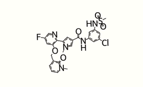 Cn1cc(C(=O)Nc2cc(Cl)cc(NS(C)(=O)=O)c2)cc1-c1ncc(F)cc1OCc1cccn(C)c1=O